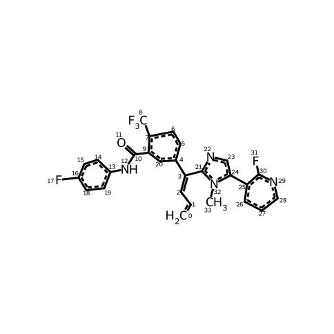 C=C/C=C(/c1ccc(C(F)(F)F)c(C(=O)Nc2ccc(F)cc2)c1)c1ncc(-c2cccnc2F)n1C